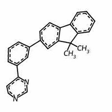 CC1(C)c2ccccc2-c2ccc(-c3cccc(-c4ccncn4)c3)cc21